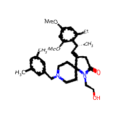 CCc1cc(OC)cc(OC)c1[C@H](C)/C=C1\CC(=O)N(CCO)C12CCN(Cc1cc(C)cc(C)c1)CC2